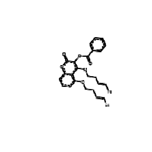 CCC=CCCOc1cccc2oc(=O)c(OC(=O)c3ccccc3)c(OCCC=CCC)c12